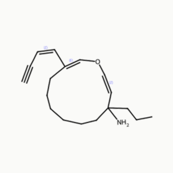 C#C/C=C\C1=C\O/C=C\C(N)(CCC)CCCCCC1